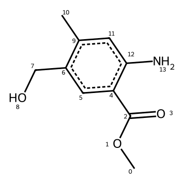 COC(=O)c1cc(CO)c(C)cc1N